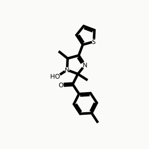 Cc1ccc(C(=O)C2(C)N=C(c3cccs3)C(C)N2O)cc1